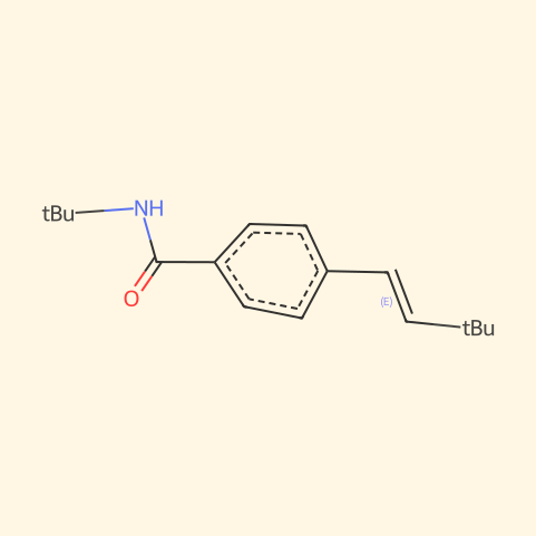 CC(C)(C)/C=C/c1ccc(C(=O)NC(C)(C)C)cc1